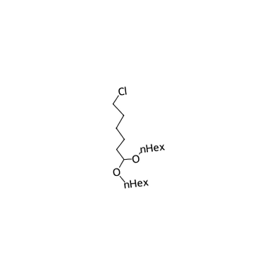 CCCCCCOC(CCCCCCl)OCCCCCC